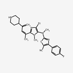 C=C(/C=C(/C)c1nc(CC)c(N(C)c2nc(-c3ccc(F)cc3)c(C#N)s2)n1C)C1CCNCC1